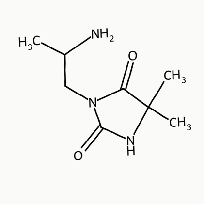 CC(N)CN1C(=O)NC(C)(C)C1=O